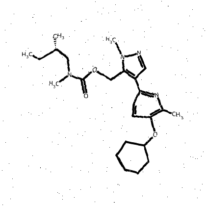 CC[C@H](C)CN(C)C(=O)OCc1c(-c2ccc(OC3CCCCC3)c(C)n2)cnn1C